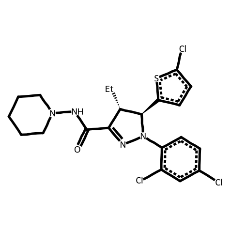 CC[C@H]1C(C(=O)NN2CCCCC2)=NN(c2ccc(Cl)cc2Cl)[C@@H]1c1ccc(Cl)s1